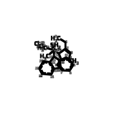 CCC1=Cc2ccccc2[CH]1[Zr+2]([CH3])([CH3])(=[SiH2])[CH]1C(CC)=Cc2ccccc21.[Cl-].[Cl-]